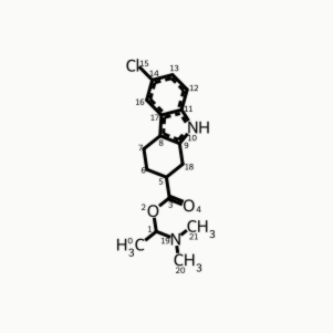 CC(OC(=O)C1CCc2c([nH]c3ccc(Cl)cc23)C1)N(C)C